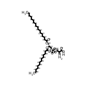 CCCCCCCCCCCCCCCCCC(=O)OC[C@H](COP(=O)(O)OC[C@H](N)C(=O)O)OC(=O)CCCCCCCCCCCCC